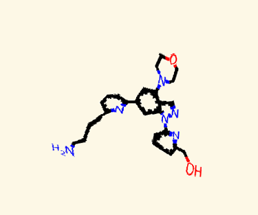 NCCCCc1cccc(-c2cc(N3CCOCC3)c3cnn(-c4cccc(CO)n4)c3c2)n1